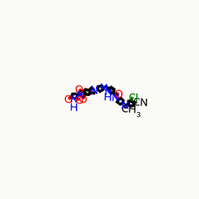 CN(c1ccc(C#N)c(Cl)c1)[C@H]1CC[C@H](NC(=O)c2ccc(CN3CCC(N4Cc5cc6c(cc5C4)C(=O)N(C4CCC(=O)NC4=O)C6=O)CC3)nc2)CC1